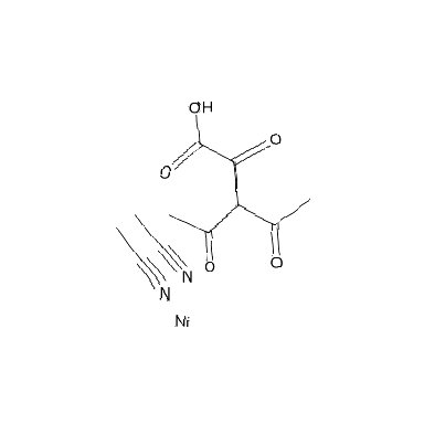 CC#N.CC#N.CC(=O)C(C(C)=O)C(=O)C(=O)O.[Ni]